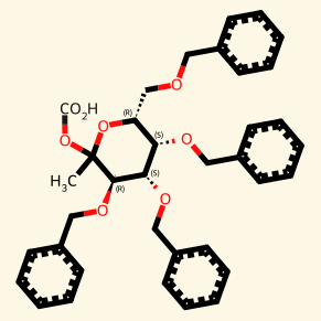 CC1(OC(=O)O)O[C@H](COCc2ccccc2)[C@H](OCc2ccccc2)[C@H](OCc2ccccc2)[C@H]1OCc1ccccc1